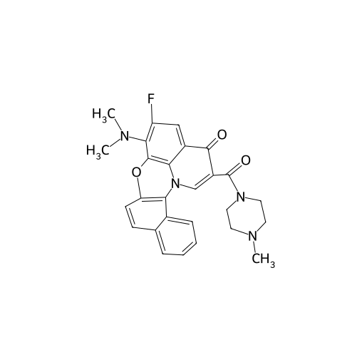 CN1CCN(C(=O)c2cn3c4c(c(N(C)C)c(F)cc4c2=O)Oc2ccc4ccccc4c2-3)CC1